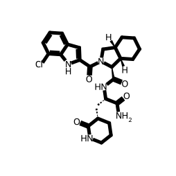 NC(=O)[C@H](C[C@@H]1CCCNC1=O)NC(=O)[C@@H]1[C@H]2CCCC[C@H]2CN1C(=O)c1cc2cccc(Cl)c2[nH]1